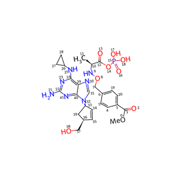 COC(=O)c1ccc(CON[C@@H](C)C(=O)OP(=O)(O)O)cc1.Nc1nc(NC2CC2)c2ncn([C@H]3C=C[C@@H](CO)C3)c2n1